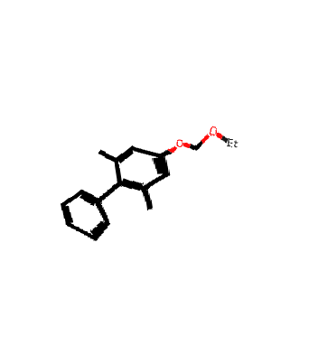 CCOCOc1cc(C)c(-c2ccccc2)c(C)c1